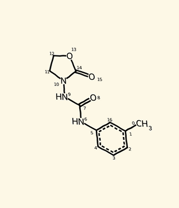 Cc1cccc(NC(=O)NN2CCOC2=O)c1